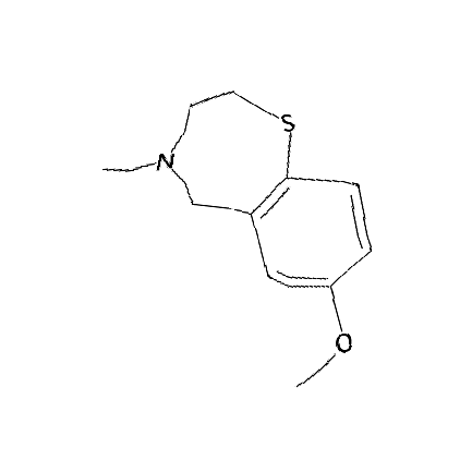 COc1ccc2c(c1)CN(C)CCS2